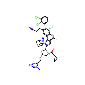 Cc1nc2c(F)c(-c3cccc(Cl)c3Cl)c(CCC#N)cc2c2c1cc(C1CC(OCc3cncn3C)CN1C(=O)C1CC1)n2C1C2CNC1C2